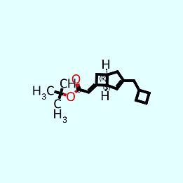 CC(C)(C)OC(=O)C=C1C[C@H]2CC(CC3CCC3)=C[C@@H]12